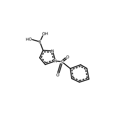 O=S(=O)(c1ccccc1)n1ccc(B(O)O)n1